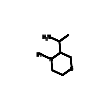 CC(N)C1CSCCN1C(C)C